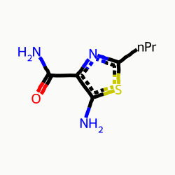 CCCc1nc(C(N)=O)c(N)s1